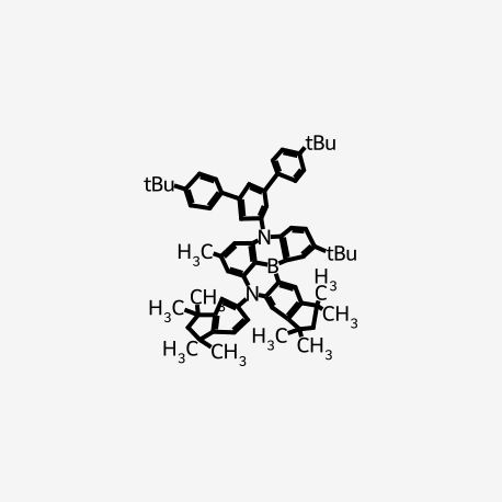 Cc1cc2c3c(c1)N(c1ccc4c(c1)C(C)(C)CC4(C)C)c1cc4c(cc1B3c1cc(C(C)(C)C)ccc1N2c1cc(-c2ccc(C(C)(C)C)cc2)cc(-c2ccc(C(C)(C)C)cc2)c1)C(C)(C)CC4(C)C